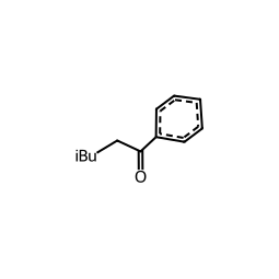 CCC(C)CC(=O)c1ccccc1